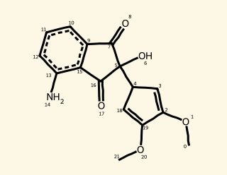 COC1=CC(C2(O)C(=O)c3cccc(N)c3C2=O)C=C1OC